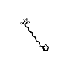 O=S(=O)(O)CCCCCCCCOc1cccs1